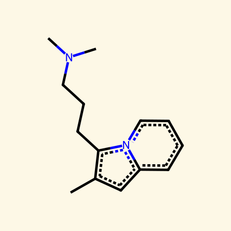 Cc1cc2ccccn2c1CCCN(C)C